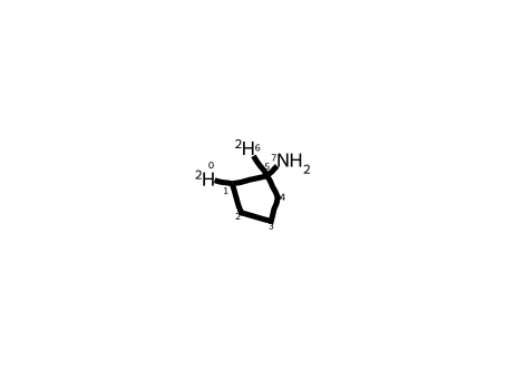 [2H]C1CCCC1([2H])N